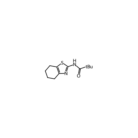 CC(C)(C)C(=O)Nc1nc2c(s1)CCCC2